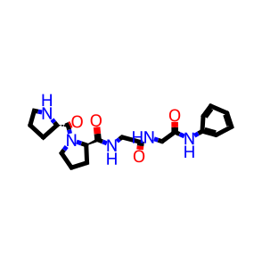 O=C(CNC(=O)[C@H]1CCCN1C(=O)[C@@H]1CCCN1)NCC(=O)Nc1ccccc1